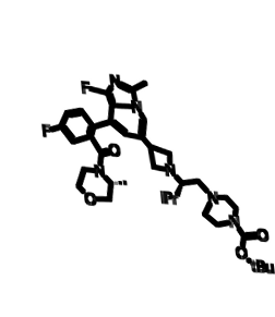 Cc1nc(F)c2c(-c3ccc(F)cc3C(=O)N3CCOC[C@H]3C)cc(C3CN([C@@H](CN4CCN(C(=O)OC(C)(C)C)CC4)C(C)C)C3)cn12